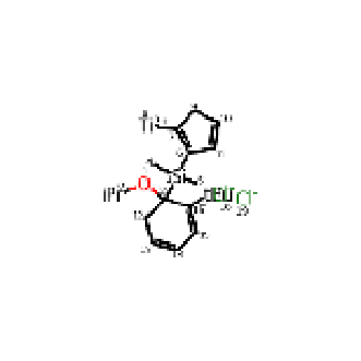 CC(C)OC1([Si](C)(C)C2=[C]([Ti+2])CC=C2)CC=CC=C1C(C)(C)C.[Cl-].[Cl-]